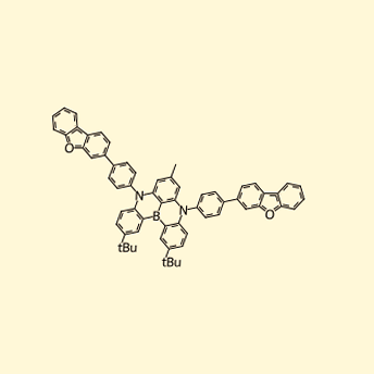 Cc1cc2c3c(c1)N(c1ccc(-c4ccc5c(c4)oc4ccccc45)cc1)c1ccc(C(C)(C)C)cc1B3c1cc(C(C)(C)C)ccc1N2c1ccc(-c2ccc3c(c2)oc2ccccc23)cc1